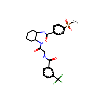 CS(=O)(=O)c1ccc(C(=O)N[C]2CCCCC2NC(=O)CNC(=O)c2cccc(C(F)(F)F)c2)cc1